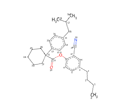 CCCCc1ccc(OC(=O)C2(c3ccc(CC(C)C)cc3)CCCCC2)c(C#N)c1